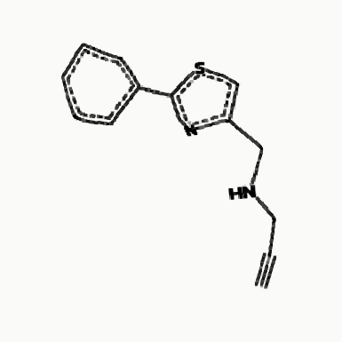 C#CCNCc1csc(-c2ccccc2)n1